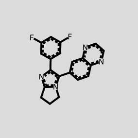 Fc1cc(F)cc(-c2nc3n(c2-c2ccc4nccnc4c2)CCC3)c1